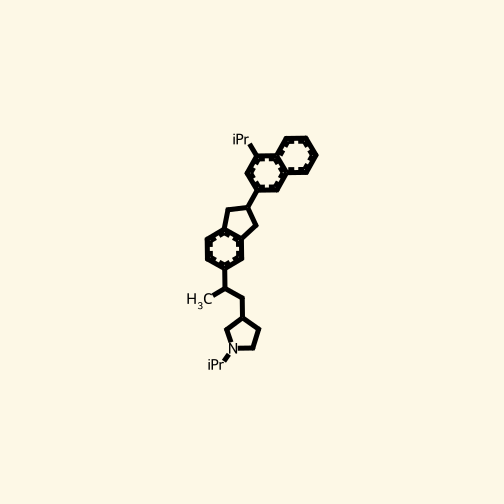 CC(C)c1cc(C2Cc3ccc(C(C)CC4CCN(C(C)C)C4)cc3C2)cc2ccccc12